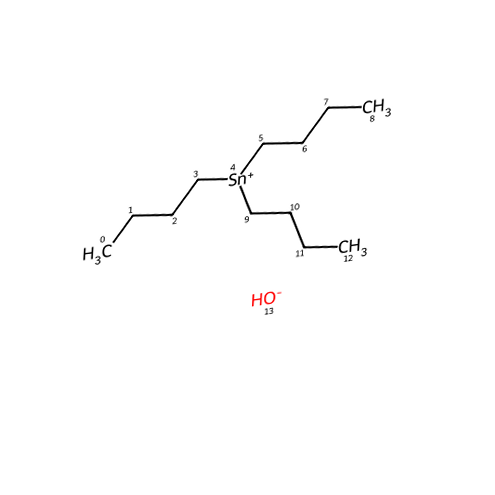 CCC[CH2][Sn+]([CH2]CCC)[CH2]CCC.[OH-]